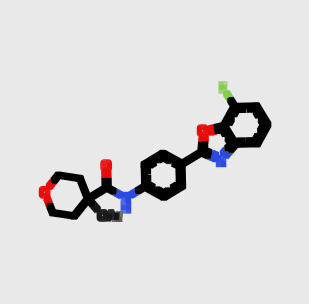 CC(=O)OC1(C(=O)Nc2ccc(-c3nc4cccc(F)c4o3)cc2)CCOCC1